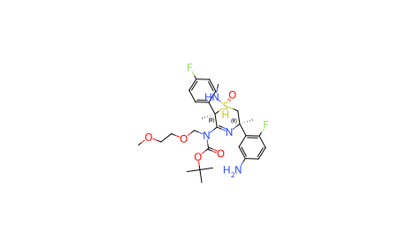 CN[SH]1(=O)C[C@@](C)(c2cc(N)ccc2F)N=C(N(COCCOC)C(=O)OC(C)(C)C)[C@@]1(C)c1ccc(F)cc1